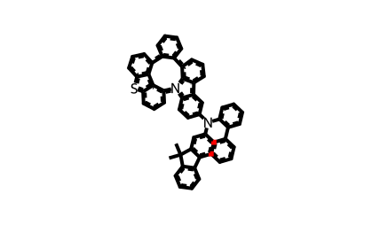 CC1(C)c2ccccc2-c2ccc(N(c3ccc4c(c3)c3cccc5c6ccccc6c6cccc7sc8cccc(c8c76)n4c53)c3ccccc3-c3ccccc3)cc21